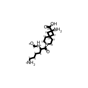 NCCCCC(NC=O)C(=O)N1CCC2(CC1)CC(N)(C(=O)O)C2